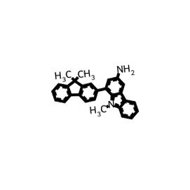 Cn1c2ccccc2c2cc(N)cc(-c3ccc4c(c3)C(C)(C)c3ccccc3-4)c21